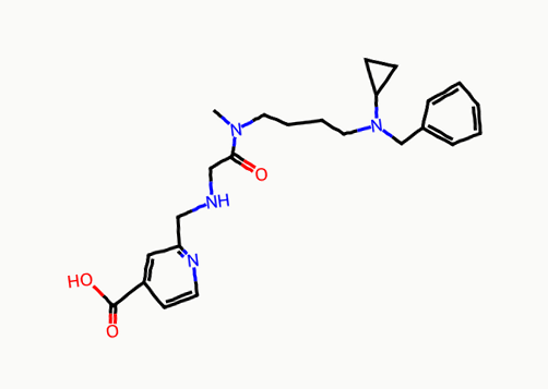 CN(CCCCN(Cc1ccccc1)C1CC1)C(=O)CNCc1cc(C(=O)O)ccn1